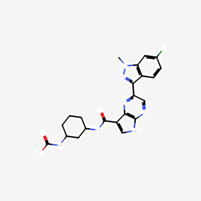 Cn1nc(-c2cnc3[nH]cc(C(=O)NC4CCCC(NC(=O)O)C4)c3n2)c2ccc(Cl)cc21